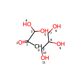 CC(=O)C(O)O.OCC(O)CO